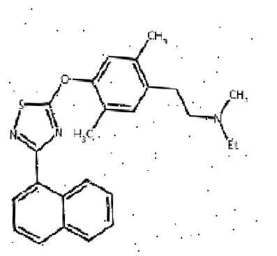 CCN(C)CCc1cc(C)c(Oc2nc(-c3cccc4ccccc34)ns2)cc1C